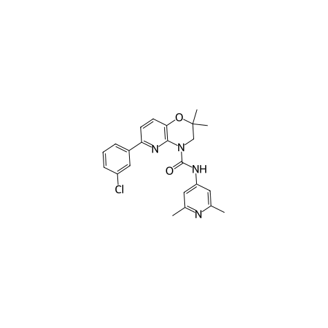 Cc1cc(NC(=O)N2CC(C)(C)Oc3ccc(-c4cccc(Cl)c4)nc32)cc(C)n1